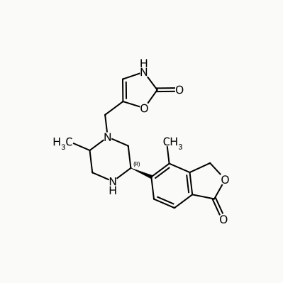 Cc1c([C@@H]2CN(Cc3c[nH]c(=O)o3)C(C)CN2)ccc2c1COC2=O